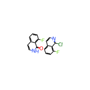 Fc1cccc2ccnc(Cl)c12.O=c1[nH]ccc2cccc(F)c12